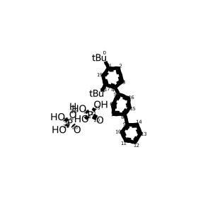 CC(C)(C)c1ccc(-c2ccc(-c3ccccc3)cc2)c(C(C)(C)C)c1.O=P(O)(O)O.O=P(O)(O)O